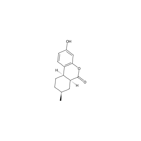 C[C@H]1CC[C@H]2c3ccc(O)cc3OC(=O)[C@H]2C1